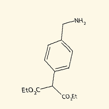 CCOC(=O)C(C(=O)OCC)c1ccc(CN)cc1